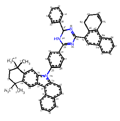 CC1(C)CCC(C)(C)c2cc3c(cc21)c1c2ccccc2ccc1n3-c1ccc(C2=NC(c3cc4ccccc4c4c3CCC=C4)=NC(c3ccccc3)N2)cc1